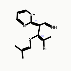 CC/C(C)=C(SC=C(C)C)/C(C=N)=C1\N=CC=CN1